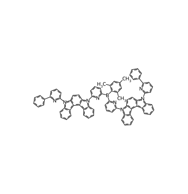 Cc1cc(C)c(B(c2cccc(-n3c4ccccc4c4c5c6ccccc6n(-c6cccc(-c7ccccc7)n6)c5ccc43)n2)c2cccc(-n3c4ccccc4c4c5c6ccccc6n(-c6cccc(-c7ccccc7)n6)c5ccc43)n2)c(C)c1